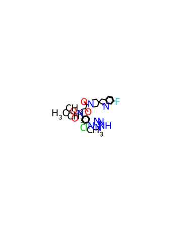 CN(c1nn[nH]n1)c1cc2c(cc1Cl)N(C(=O)OC(C)(C)C)CC(C(=O)N1CCC(C#N)(Cc3ccc(F)cc3)CC1)O2